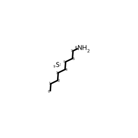 CCCCCCCCN.[S]